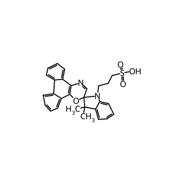 CC1(C)c2ccccc2N(CCCS(=O)(=O)O)C12C=Nc1c(c3ccccc3c3ccccc13)O2